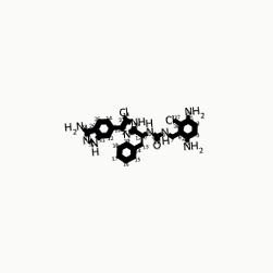 Nc1ccc(N)c(CNC(=O)N[C@@H](Cc2ccccc2)c2nc(-c3ccc4c(N)n[nH]c4c3)c(Cl)[nH]2)c1Cl